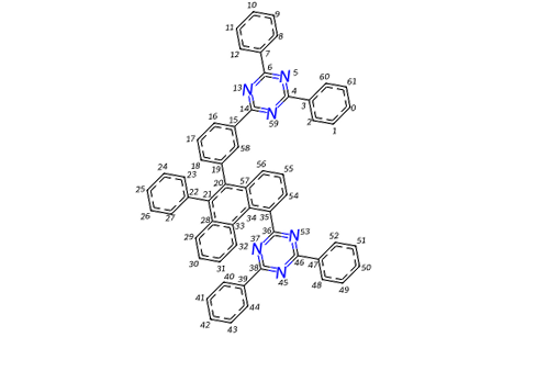 c1ccc(-c2nc(-c3ccccc3)nc(-c3cccc(-c4c(-c5ccccc5)c5ccccc5c5c(-c6nc(-c7ccccc7)nc(-c7ccccc7)n6)cccc45)c3)n2)cc1